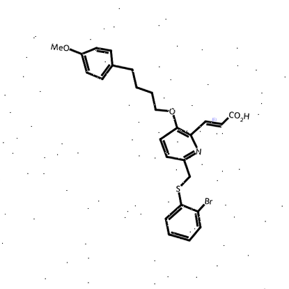 COc1ccc(CCCCOc2ccc(CSc3ccccc3Br)nc2/C=C/C(=O)O)cc1